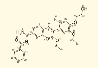 CCOC(=O)[C@@H](Nc1ccc(/C(N)=N/C(=O)c2ccccc2)cc1)c1cc(OCC)c(OCCO)cc1F